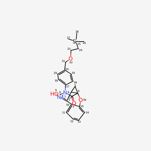 CN(C(=O)C12CC1C(=NO)c1ccccc1O2)c1ccc(COCC[Si](C)(C)C)cc1